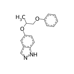 CC(COc1ccccc1)Oc1ccc2[nH]ncc2c1